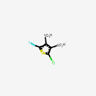 O=S(=O)(O)c1c(F)sc(Cl)c1S(=O)(=O)O